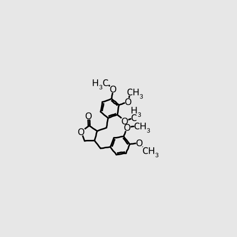 COc1ccc(CC2COC(=O)C2Cc2ccc(OC)c(OC)c2OC)cc1OC